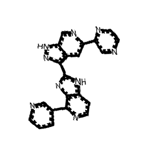 c1cncc(-c2nccc3[nH]c(-c4n[nH]c5cnc(-c6cnccn6)cc45)nc23)c1